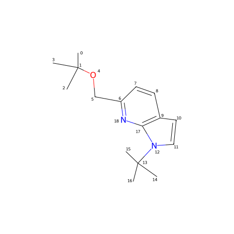 CC(C)(C)OCc1ccc2ccn(C(C)(C)C)c2n1